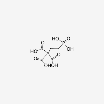 O=C(O)C(CCP(=O)(O)O)(C(=O)O)C(=O)O